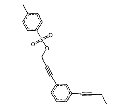 CCC#Cc1cccc(C#CCOS(=O)(=O)c2ccc(C)cc2)c1